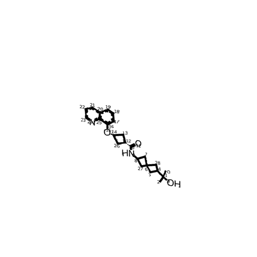 CC(C)(O)C1CC2(CC(NC(=O)[C@H]3C[C@H](Oc4cccc5cccnc45)C3)C2)C1